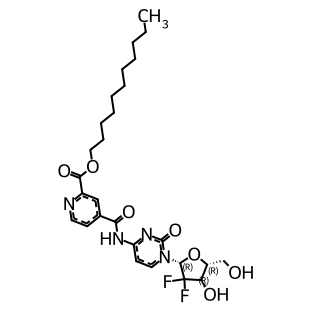 CCCCCCCCCCCOC(=O)c1cc(C(=O)Nc2ccn([C@@H]3O[C@H](CO)[C@@H](O)C3(F)F)c(=O)n2)ccn1